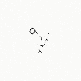 C[C@@H](C(=O)OC(C)(C)C)N(CCOCc1ccccc1)C(=O)OCCl